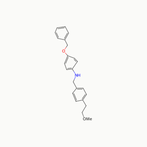 COCCc1ccc(CNc2ccc(OCc3ccccc3)cc2)cc1